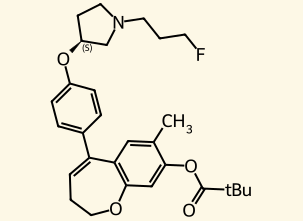 Cc1cc2c(cc1OC(=O)C(C)(C)C)OCCC=C2c1ccc(O[C@H]2CCN(CCCF)C2)cc1